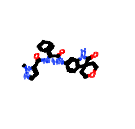 Cn1nccc1C(=O)NC(C(=O)Nc1ccc2c(c1)NC(=O)C21CCOCC1)=C1CC2CCC1C2